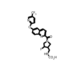 O=C(O)NCC1CN(C(=O)c2ccc3cc(Oc4ccc(C(F)(F)F)cn4)ccc3n2)CC1F